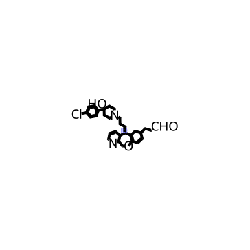 O=CCCC1C=CC2=C(C1)/C(=C/CCN1CCC(O)(c3ccc(Cl)cc3)CC1)C1C=CC=NC1CO2